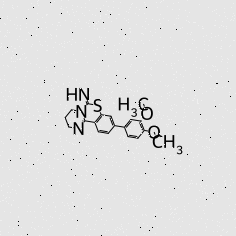 COc1ccc(-c2ccc3c(c2)SC(=N)N2CCCN=C32)cc1OC